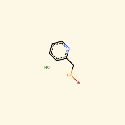 BrPCc1ccccn1.Cl